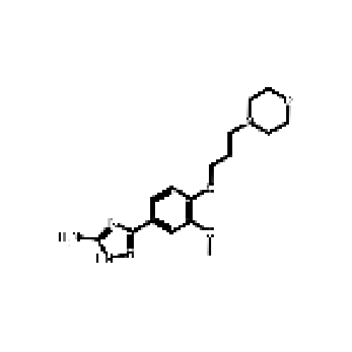 COc1cc(-c2n[nH]c(N)n2)ccc1OCCCN1CCOCC1